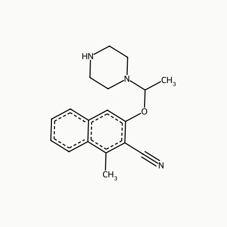 Cc1c(C#N)c(OC(C)N2CCNCC2)cc2ccccc12